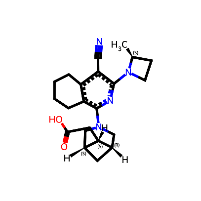 C[C@H]1CCN1c1nc(N2C[C@H]3C[C@@H](C2)[C@H]3CC(=O)O)c2c(c1C#N)CCCC2